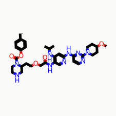 [CH2]c1ccc(OC(=O)N2CCNCC2CCOCC(=O)Nc2cnc(Nc3ccnc(N4CCC(OC)CC4)n3)cc2NC(C)C)cc1